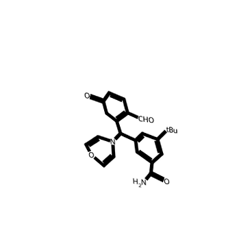 CC(C)(C)c1cc(C(N)=O)cc(C(C2=C(C=O)C=CC(=O)C2)N2C=COC=C2)c1